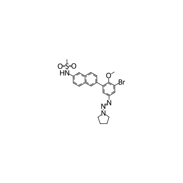 COc1c(Br)cc(N=NN2CCCC2)cc1-c1ccc2cc(NS(C)(=O)=O)ccc2c1